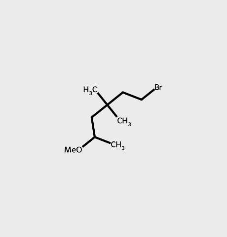 COC(C)CC(C)(C)CCBr